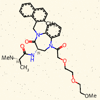 CN[C@@H](C)C(=O)N[C@H]1CN(C(=O)COCCOCCOC)c2ccccc2N(Cc2c(C)ccc3ccccc23)C1=O